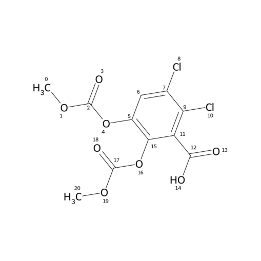 COC(=O)Oc1cc(Cl)c(Cl)c(C(=O)O)c1OC(=O)OC